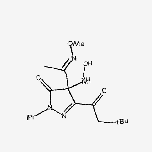 CO/N=C(\C)C1(NO)C(=O)N(C(C)C)N=C1C(=O)CC(C)(C)C